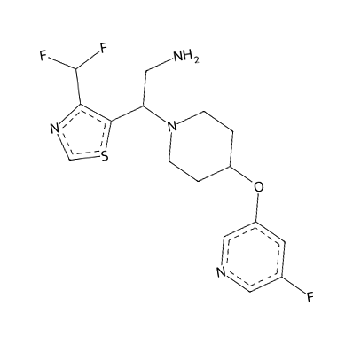 NCC(c1scnc1C(F)F)N1CCC(Oc2cncc(F)c2)CC1